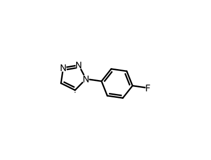 Fc1ccc(-n2[c]cnn2)cc1